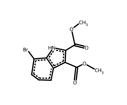 COC(=O)c1[nH]c2c(Br)cccc2c1C(=O)OC